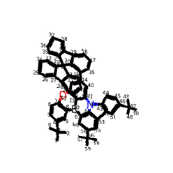 CC(C)(C)c1ccc2c(c1)B1c3c(cc(-c4cccc5c4C4(c6ccccc6-c6ccccc64)c4ccccc4-5)cc3-n3c4ccc(C(C)(C)C)cc4c4cc(C(C)(C)C)cc1c43)O2